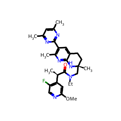 CCN(C[C@@]1(C)CCc2cc(-c3nc(C)cc(C)n3)c(C)nc2N1)C(=O)[C@H](C)c1cc(OC)ncc1F